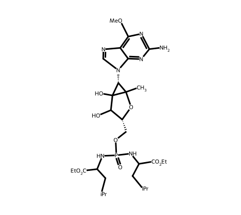 CCOC(=O)C(CC(C)C)NP(=O)(NC(CC(C)C)C(=O)OCC)OC[C@H]1OC2(C)[C@@H](n3cnc4c(OC)nc(N)nc43)C2(O)C1O